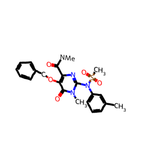 CNC(=O)c1nc(N(c2cccc(C)c2)S(C)(=O)=O)n(C)c(=O)c1OCc1ccccc1